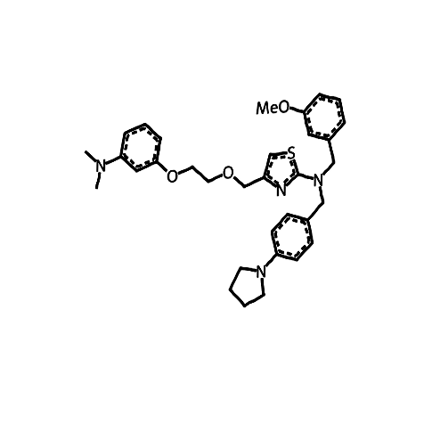 COc1cccc(CN(Cc2ccc(N3CCCC3)cc2)c2nc(COCCOc3cccc(N(C)C)c3)cs2)c1